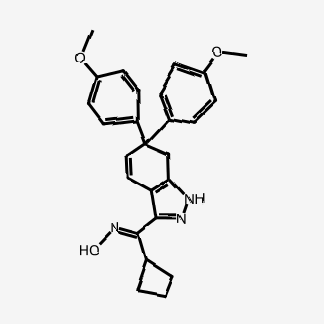 COc1ccc(C2(c3ccc(OC)cc3)C=Cc3c(C(=NO)C4CCC4)n[nH]c3C2)cc1